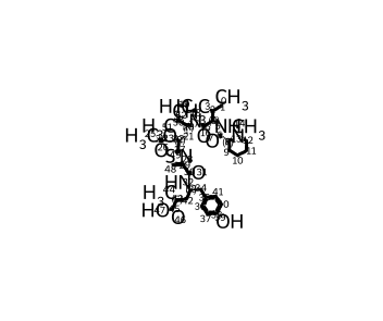 CCC(C)[C@H](NC(=O)[C@H]1CCCCN1C)C(=O)N(CC)[C@H](C[C@@H](OC(C)=O)c1nc(C(=O)N[C@@H](Cc2ccc(O)cc2)C[C@H](C)C(=O)O)cs1)C(C)C